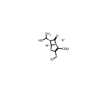 CCSC1=C(C(=O)[O-])N2C(=O)[C@H](C(C)O)[C@@H]2S1.[K+]